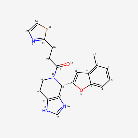 Cc1cccc2oc([C@@H]3c4nc[nH]c4CCN3C(=O)CCc3nccs3)cc12